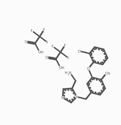 N#Cc1ccc(Cn2cncc2CN)cc1Oc1ccccc1Cl.O=C(O)C(F)(F)F.O=C(O)C(F)(F)F